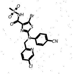 CS(=O)(=O)NC(=O)c1nc(N(Cc2ccc(Cl)cn2)c2ccc(C#N)cc2)sc1Br